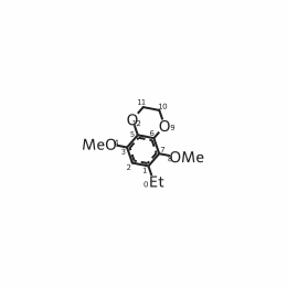 CCc1cc(OC)c2c(c1OC)OCCO2